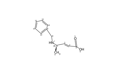 C[C@H](C=CC(=O)O)NCc1ccccc1